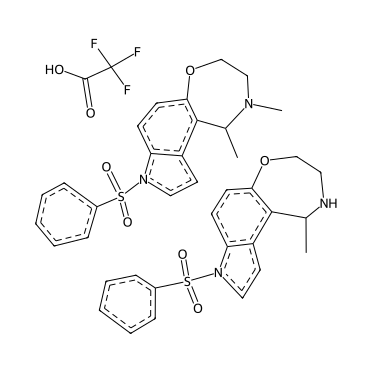 CC1NCCOc2ccc3c(ccn3S(=O)(=O)c3ccccc3)c21.CC1c2c(ccc3c2ccn3S(=O)(=O)c2ccccc2)OCCN1C.O=C(O)C(F)(F)F